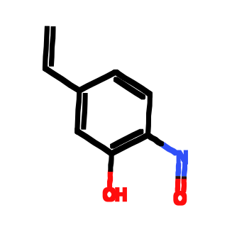 C=Cc1ccc(N=O)c(O)c1